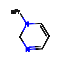 CCCN1C=CC=NC1